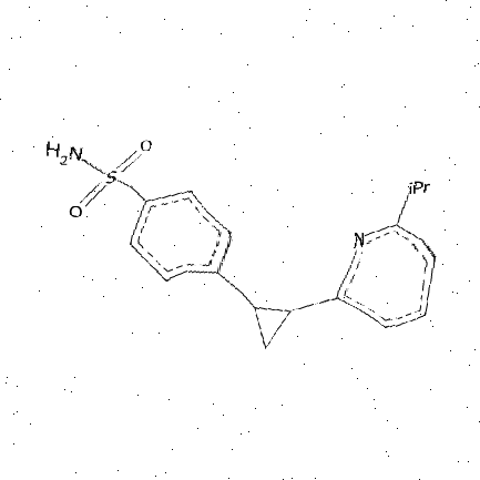 CC(C)c1cccc(C2CC2c2ccc(S(N)(=O)=O)cc2)n1